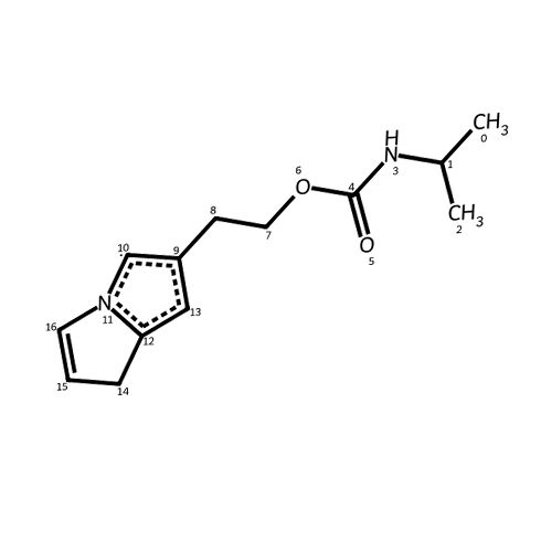 CC(C)NC(=O)OCCc1[c]n2c(c1)CC=C2